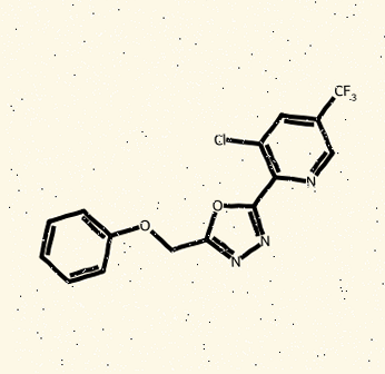 FC(F)(F)c1cnc(-c2nnc(COc3ccccc3)o2)c(Cl)c1